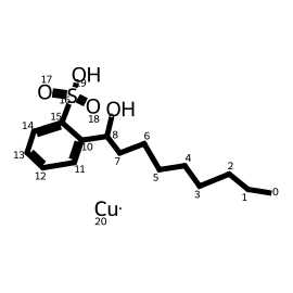 CCCCCCCCC(O)c1ccccc1S(=O)(=O)O.[Cu]